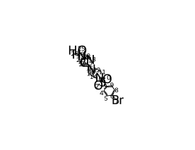 O=S(=O)(c1ccc(Br)cc1)N1CC2CC1CN2c1nc2ncc1C[C@H]2O